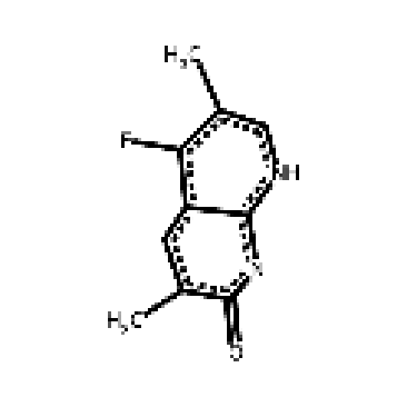 Cc1c[nH]c2nc(=O)c(C)cc-2c1F